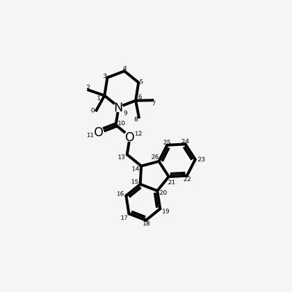 CC1(C)CCCC(C)(C)N1C(=O)OCC1c2ccccc2-c2ccccc21